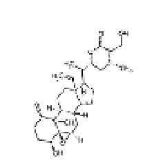 C=C[C@]12CC[C@H]3[C@@H](C[C@H]4O[C@]45[C@@H](O)CCC(=O)[C@]35C)[C@@H]1CC[C@@H]2C(C)[C@H]1CC(C)=C(CO)C(=O)O1